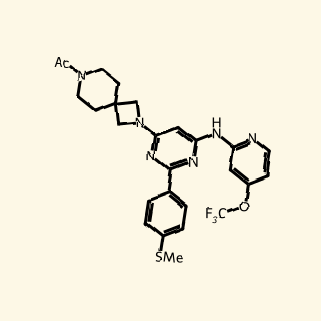 CSc1ccc(-c2nc(Nc3cc(OC(F)(F)F)ccn3)cc(N3CC4(CCN(C(C)=O)CC4)C3)n2)cc1